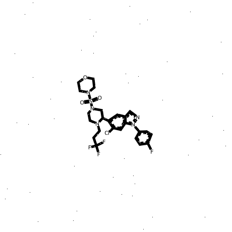 O=S(=O)(N1CCOCC1)N1CCN(CCC(F)(F)F)C(c2cc3cnn(-c4ccc(F)cc4)c3cc2Cl)C1